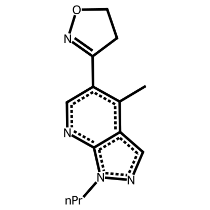 CCCn1ncc2c(C)c(C3=NOCC3)cnc21